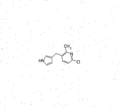 Cc1nc(Cl)ccc1Cc1cc[nH]c1